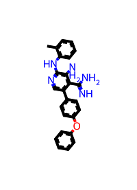 Cc1ccccc1Nc1ncc(-c2ccc(Oc3ccccc3)cc2)c(C(=N)N)c1N